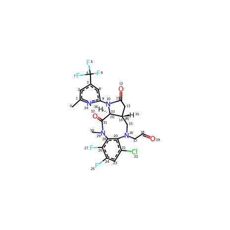 Cc1cc(C(F)(F)F)cc(N2C(=O)C[C@@H]3CN(CC=O)c4c(Cl)cc(F)c(F)c4N(C)C(=O)[C@H]32)n1